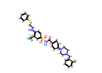 O=C(NS(=O)(=O)c1ccc(NCCSc2ccccc2)c(C(F)(F)F)c1)c1ccc(N2CCN(Cc3ccccc3Br)CC2)cc1